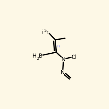 B/C(=C(/C)C(C)C)N(Cl)N=C